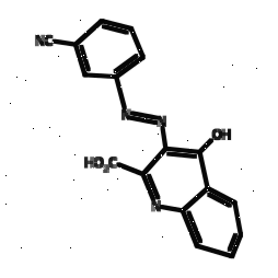 N#Cc1cccc(/N=N/c2c(C(=O)O)nc3ccccc3c2O)c1